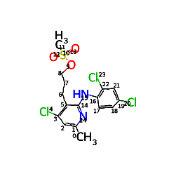 Cc1cc(Cl)c(CCCOS(C)(=O)=O)c(Nc2ccc(Cl)cc2Cl)n1